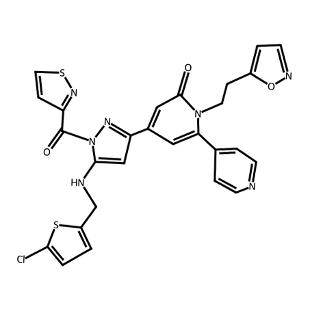 O=C(c1ccsn1)n1nc(-c2cc(-c3ccncc3)n(CCc3ccno3)c(=O)c2)cc1NCc1ccc(Cl)s1